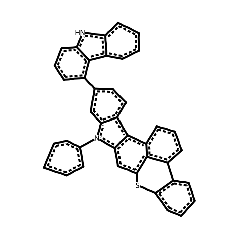 c1ccc(-n2c3cc(-c4cccc5[nH]c6ccccc6c45)ccc3c3c4cccc5c4c(cc32)Sc2ccccc2-5)cc1